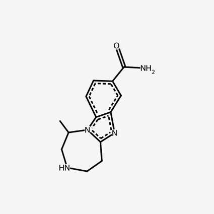 CC1CNCCc2nc3cc(C(N)=O)ccc3n21